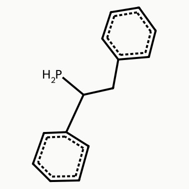 PC(Cc1ccccc1)c1ccccc1